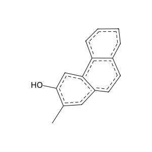 Cc1cc2ccc3ccccc3c2cc1O